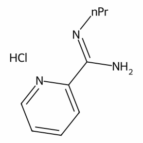 CCCN=C(N)c1ccccn1.Cl